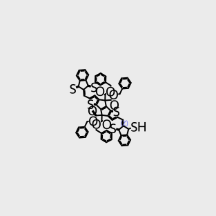 O=C(OCc1ccccc1)C1(C(=O)OCc2ccccc2)C2=C(c3sc(C=C4C(=S)c5ccccc5C4=S)cc31)C(C(=O)OCc1ccccc1)(C(=O)OCc1ccccc1)c1cc(/C=C3\C(=S)c4ccccc4C3S)sc12